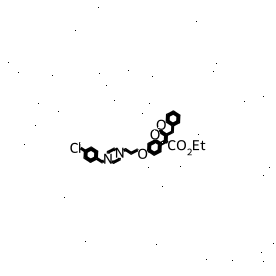 CCOC(=O)c1c(Cc2ccccc2)c(=O)oc2cc(OCCCN3CCN(Cc4ccc(Cl)cc4)CC3)ccc12